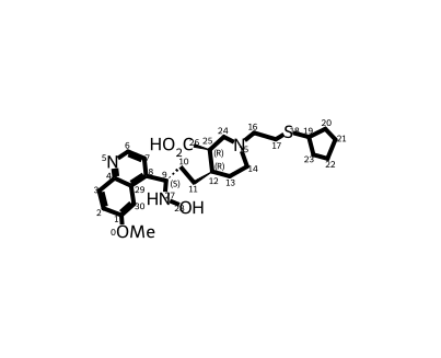 COc1ccc2nccc([C@H](CC[C@@H]3CCN(CCSC4CCCC4)C[C@@H]3C(=O)O)NO)c2c1